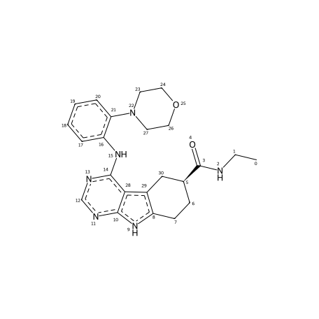 CCNC(=O)[C@H]1CCc2[nH]c3ncnc(Nc4ccccc4N4CCOCC4)c3c2C1